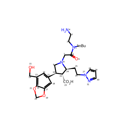 CCCCN(CCN)C(=O)CN1C[C@H](c2cc(CO)c3c(c2)OCO3)[C@@H](C(=O)O)[C@@H]1CCn1cccn1